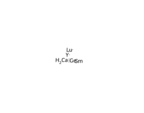 [CaH2].[Ge].[Lu].[Sm].[Y]